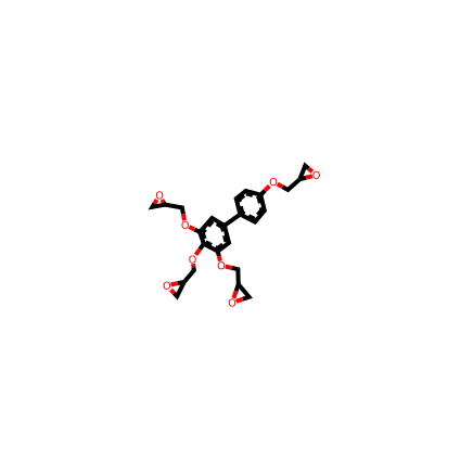 c1cc(-c2cc(OCC3CO3)c(OCC3CO3)c(OCC3CO3)c2)ccc1OCC1CO1